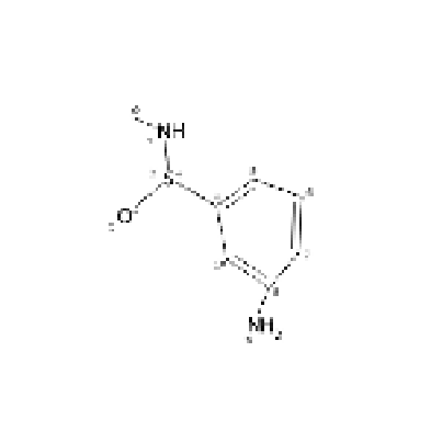 CN[S+]([O-])c1cccc(N)c1